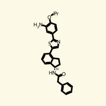 CC(C)Oc1ccc(-c2ncc(-c3cccc4c3CC[C@@H]4NC(=O)Cc3ccccc3)s2)cc1N